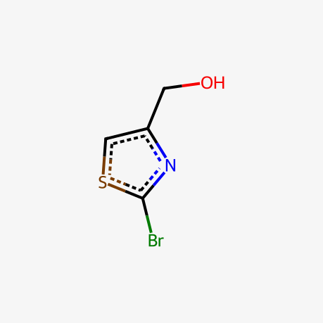 OCc1csc(Br)n1